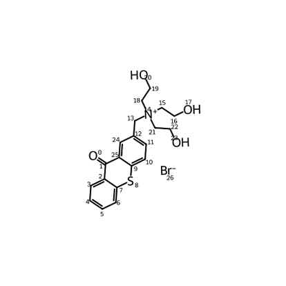 O=c1c2ccccc2sc2ccc(C[N+](CCO)(CCO)CCO)cc12.[Br-]